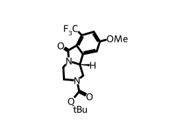 COc1cc2c(c(C(F)(F)F)c1)C(=O)N1CCN(C(=O)OC(C)(C)C)C[C@@H]21